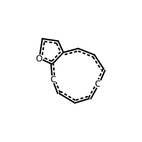 c1ccccc2occc2ccc1